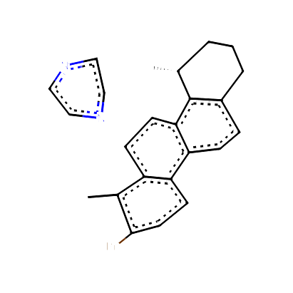 Cc1c(Br)ccc2c1ccc1c3c(ccc12)CCC[C@H]3C.c1cnccn1